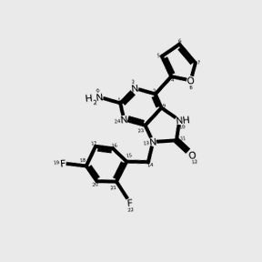 Nc1nc(-c2ccco2)c2[nH]c(=O)n(Cc3ccc(F)cc3F)c2n1